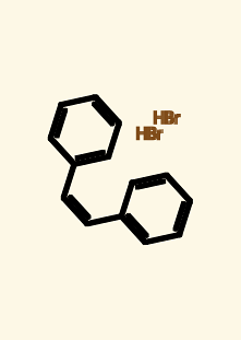 Br.Br.C(=C/c1ccccc1)/c1ccccc1